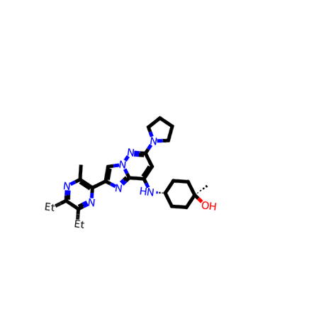 CCc1nc(C)c(-c2cn3nc(N4CCCC4)cc(N[C@H]4CC[C@](C)(O)CC4)c3n2)nc1CC